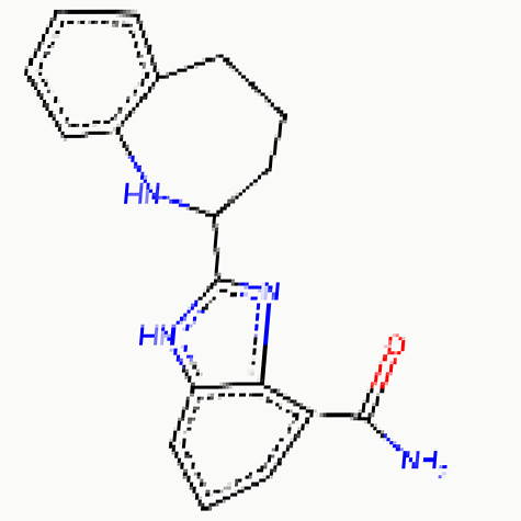 NC(=O)c1cccc2[nH]c(C3CCCc4ccccc4N3)nc12